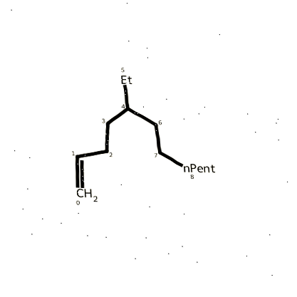 C=CCCC(CC)CCCCCCC